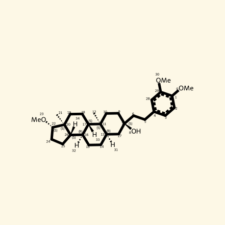 COc1ccc(CC[C@@]2(O)CC[C@@]3(C)[C@H](CC[C@@H]4[C@@H]3CC[C@]3(C)[C@@H](OC)CC[C@@H]43)C2)cc1OC